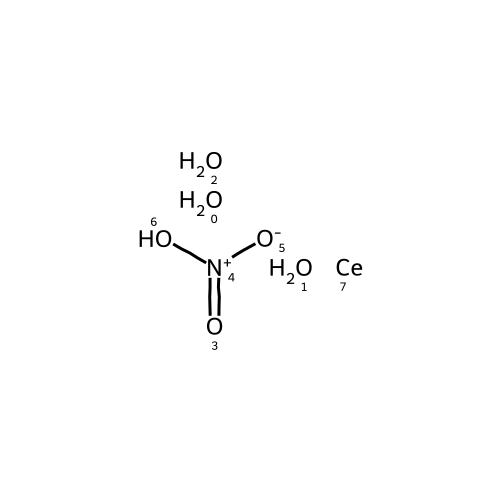 O.O.O.O=[N+]([O-])O.[Ce]